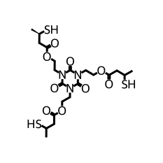 CC(S)CC(=O)OCCn1c(=O)n(CCOC(=O)CC(C)S)c(=O)n(CCOC(=O)C[C@@H](C)S)c1=O